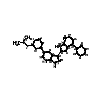 CN(C)Cc1cncc(-c2cnc3[nH]nc(-c4cc5c(-c6ccccn6)ccnc5[nH]4)c3c2)c1